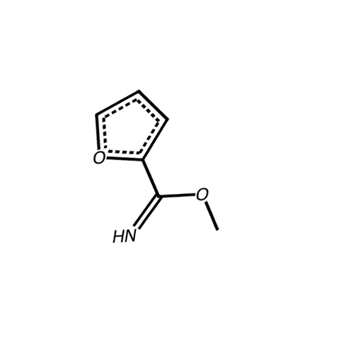 COC(=N)c1ccco1